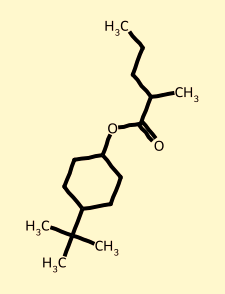 CCCC(C)C(=O)OC1CCC(C(C)(C)C)CC1